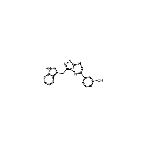 Oc1cccc(-c2cnc3nnc(Cc4c[nH]c5ccccc45)n3n2)c1